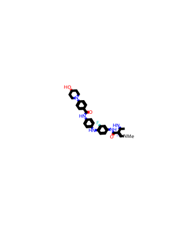 CN/C=C(\C(C)=N)C(=O)Nc1ccc(Nc2ccc(NC(=O)c3ccc(N4CCC(O)CC4)cc3)cc2)c(F)c1